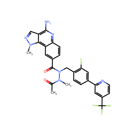 CC(=O)N(C)N(Cc1ccc(-c2cc(C(F)(F)F)ccn2)cc1F)C(=O)c1ccc2nc(N)c3cnn(C)c3c2c1